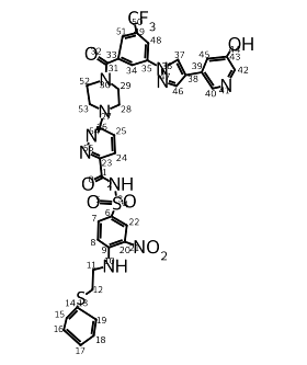 O=C(NS(=O)(=O)c1ccc(NCCSc2ccccc2)c([N+](=O)[O-])c1)c1ccc(N2CCN(C(=O)c3cc(-n4cc(-c5cncc(O)c5)cn4)cc(C(F)(F)F)c3)CC2)nn1